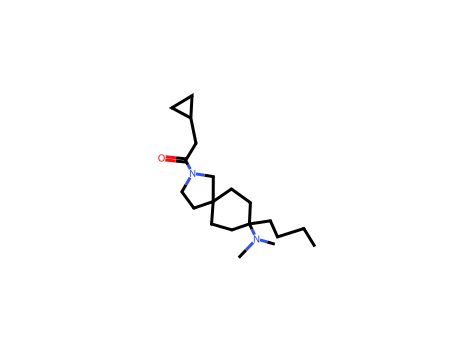 CCCCC1(N(C)C)CCC2(CCN(C(=O)CC3CC3)C2)CC1